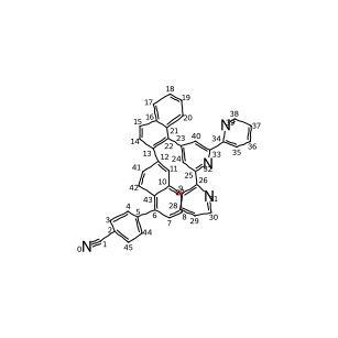 N#Cc1ccc(-c2cccc3cc(-c4ccc5ccccc5c4-c4cc(-c5ccccn5)nc(-c5ccccn5)c4)ccc23)cc1